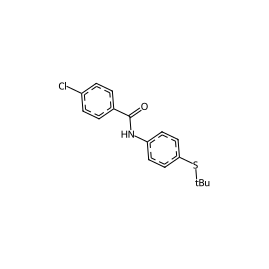 CC(C)(C)Sc1ccc(NC(=O)c2ccc(Cl)cc2)cc1